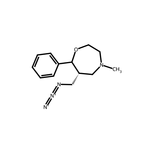 CN1CCOC(c2ccccc2)[C@@H](CN=[N+]=[N-])C1